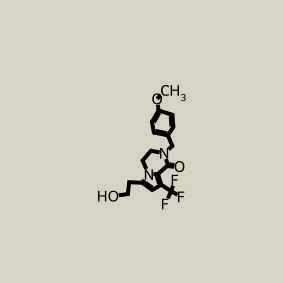 COc1ccc(CN2CCn3c(CCO)cc(C(F)(F)F)c3C2=O)cc1